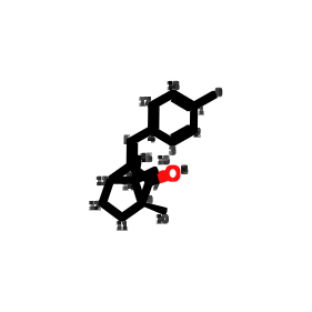 Cc1ccc(/C=C2\C(=O)[C@]3(C)CCC2C3(C)C)cc1